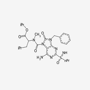 CCCS(=N)(=O)c1nc(N)c2c(n1)n(Cc1ccccc1)c(=O)n2C(=O)N(C)C(CC(C)C)C(=O)OC(C)C